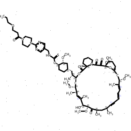 CCCOCCC(=O)N1CCN(c2ncc(CNC(=S)O[C@@H]3CC[C@@H](C[C@@H](N)[C@@H]4C[C@@H](OC)[C@H](C)/C=C(\C)[C@@H](O)[C@@H](OC)C(=O)[C@H](C)C[C@H](C)/C=C/C=C/C=C(\C)[C@@H](OC)C[C@@H]5CC[C@@H](C)[C@@](O)(O5)C(=O)C(=O)N5CCCC[C@H]5C(=O)O4)C[C@H]3OC)cn2)CC1